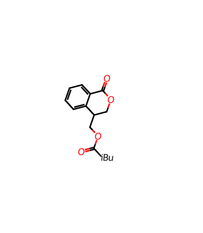 CCC(C)C(=O)OCC1COC(=O)c2ccccc21